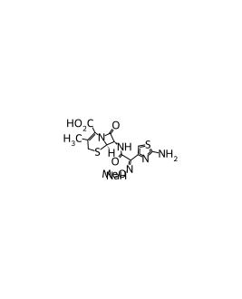 CO/N=C(\C(=O)N[C@@H]1C(=O)N2C(C(=O)O)=C(C)CS[C@H]12)c1csc(N)n1.[NaH]